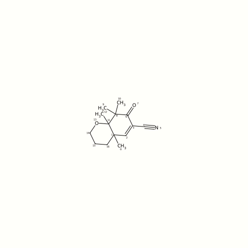 CC12C=C(C#N)C(=O)C(C)(C)C1(C)OCCC2